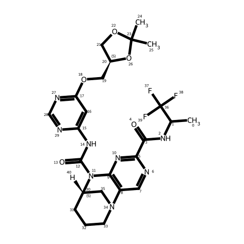 CC(NC(=O)c1ncc2c(n1)N(C(=O)Nc1cc(OC[C@H]3COC(C)(C)O3)ncn1)[C@H]1CCCN2C1)C(F)(F)F